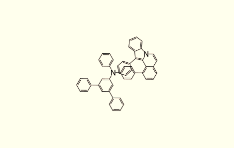 c1ccc(-c2cc(-c3ccccc3)cc(N(c3ccccc3)c3ccc(-c4cccc5ccn6c7ccccc7c(-c7ccccc7)c6c45)cc3)c2)cc1